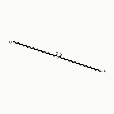 CCCCCCCCCCCCCCCCCCCCCCCC(=O)OC(=O)CCCCCCCCCCCCCCCCCCCCCC